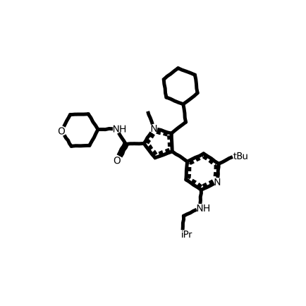 CC(C)CNc1cc(-c2cc(C(=O)NC3CCOCC3)n(C)c2CC2CCCCC2)cc(C(C)(C)C)n1